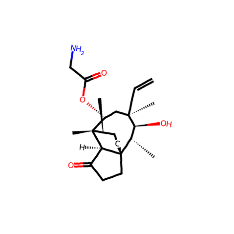 C=C[C@]1(C)C[C@@H](OC(=O)CN)[C@]2(C)[C@H](C)CC[C@]3(CCC(=O)[C@H]32)[C@@H](C)[C@@H]1O